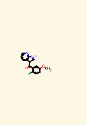 COc1ccc(F)c(C(=O)C2CNc3ncccc32)c1